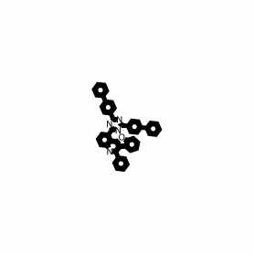 c1ccc(-c2ccc(-c3nc(-c4ccc(-c5ccccc5)cc4)nc(-c4cccc5nc(-c6ccccc6)c6c7ccccc7oc6c45)n3)cc2)cc1